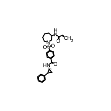 C=CC(=O)NC1CCCCN(S(=O)(=O)c2ccc(C(=O)N[C@@H]3CC3c3ccccc3)cc2)C1